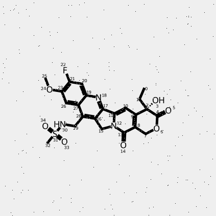 CC[C@@]1(O)C(=O)OCc2c1cc1n(c2=O)Cc2c-1nc1cc(F)c(OC)cc1c2CNS(C)(=O)=O